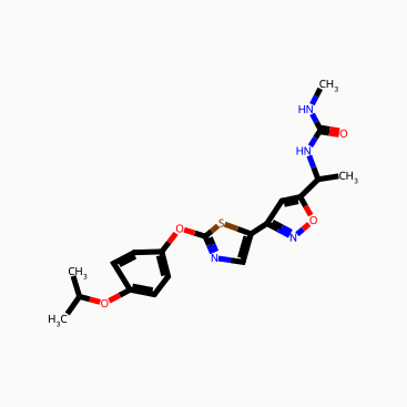 CNC(=O)NC(C)c1cc(-c2cnc(Oc3ccc(OC(C)C)cc3)s2)no1